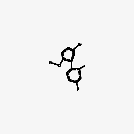 CCOc1ccc(Br)cc1-c1ccc(F)cc1C